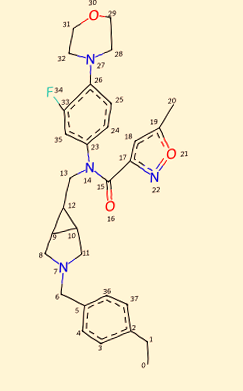 CCc1ccc(CN2CC3C(C2)C3CN(C(=O)c2cc(C)on2)c2ccc(N3CCOCC3)c(F)c2)cc1